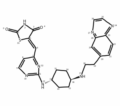 O=C1NC(=O)/C(=C/c2ccnc(N[C@H]3CC[C@H](NCCc4ccc5nccnc5c4)CC3)n2)S1